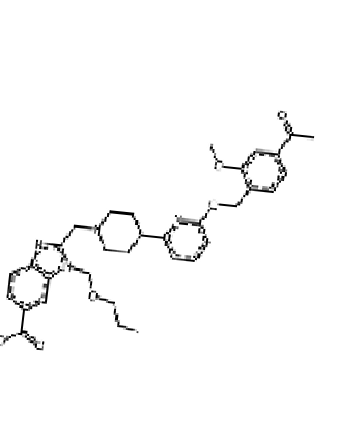 CCCOCn1c(CN2CCC(c3cccc(OCc4ccc(C(C)=O)cc4OC)n3)CC2)nc2ccc(C(=O)O)cc21